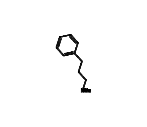 [CH]NCCCc1ccccc1